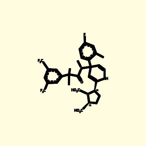 Cc1cc(F)ccc1C1(N(C)C(=O)C(C)(C)c2cc(C(F)(F)F)cc(C(F)(F)F)c2)C=CNC([C@H]2CC[C@@H](C(=O)O)N2C(=O)O)=C1